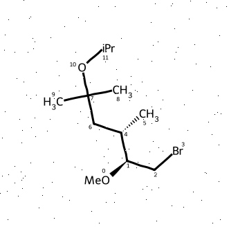 CO[C@H](CBr)[C@@H](C)CC(C)(C)OC(C)C